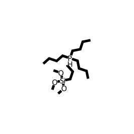 CCCC[PH](CCCC)(CCCC)CCC[Si](OC)(OC)OC